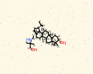 C=C(C)[C@@H]1CC[C@]2(CCNC(C)(C)CO)CC[C@]3(C)[C@H](CC[C@@H]4[C@@]5(C)CC[C@H](O)C(C)(C)[C@@H]5CC[C@]43C)[C@@H]12